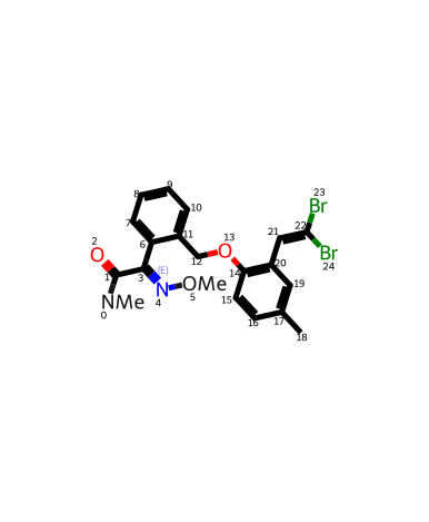 CNC(=O)/C(=N/OC)c1ccccc1COc1ccc(C)cc1C=C(Br)Br